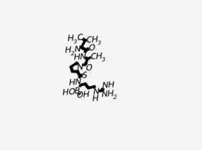 CC(NC(=O)C(N)C(C)C)C(=O)N1CCCC1C(=S)NC(CCCNC(=N)N)B(O)O